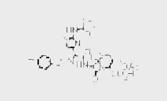 CC(=O)OCC1=C(C(=O)O)N2C(=O)[C@@H](NC(=O)C(=NOCc3ccc(F)cc3)c3csc(NC(=O)C(F)(F)F)n3)[C@H]2SC1